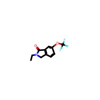 CCN1Cc2ccc(OC(F)(F)F)cc2C1=O